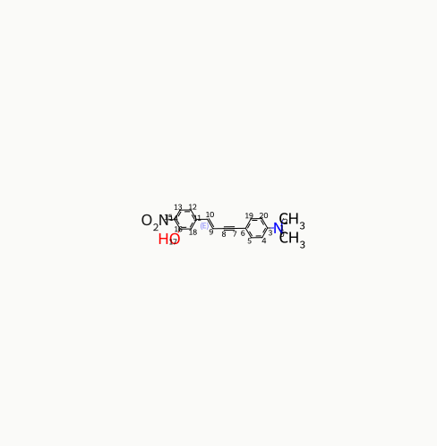 CN(C)c1ccc(C#C/C=C/c2ccc([N+](=O)[O-])c(O)c2)cc1